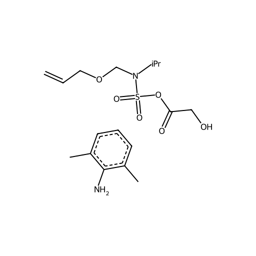 C=CCOCN(C(C)C)S(=O)(=O)OC(=O)CO.Cc1cccc(C)c1N